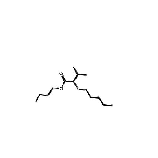 CCCCOC(=O)C(SCCCCF)C(C)C